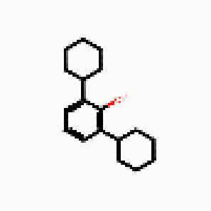 Oc1c(C2CCCCC2)c[c]cc1C1CCCCC1